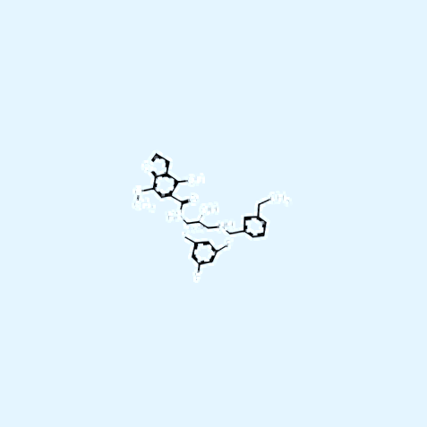 CCc1cccc(CNC[C@H](O)[C@H](Cc2cc(F)cc(F)c2)NC(=O)c2cc(OC)c3occc3c2O)c1